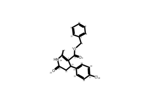 CC1=C(C(=O)OCc2ccccc2)C(c2ccc(Cl)cc2)CC(=O)N1